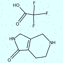 O=C(O)C(F)(F)F.O=C1NCC2=C1CCNC2